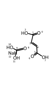 O=C(O)C=CC(=O)O.O=C(O)O.[NaH]